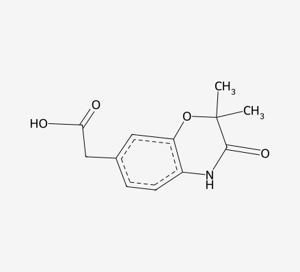 CC1(C)Oc2cc(CC(=O)O)ccc2NC1=O